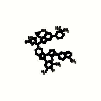 Cc1cc(-n2nc3c(c2-n2ccn(-c4ccc5c(cnn5C)c4)c2=O)CN(C(=O)c2cc4cc(C5CCOC(C)(C)C5)ccc4n2[C@@]2(c4noc(=O)[nH]4)C[C@@H]2C)CC3)cc(C)c1F